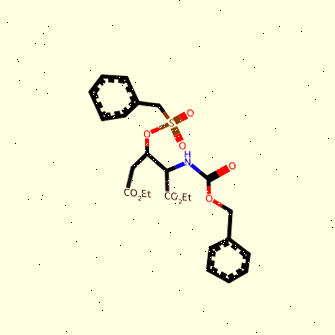 CCOC(=O)CC(OS(=O)(=O)Cc1ccccc1)C(NC(=O)OCc1ccccc1)C(=O)OCC